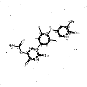 Cc1cc(-n2nc(OC(N)=O)c(=O)[nH]c2=O)cc(C)c1Oc1c[nH]c(=O)c(C(C)C)c1